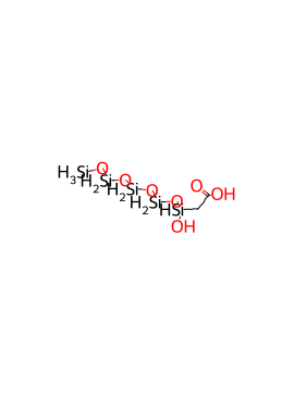 O=C(O)C[SiH](O)O[SiH2]O[SiH2]O[SiH2]O[SiH3]